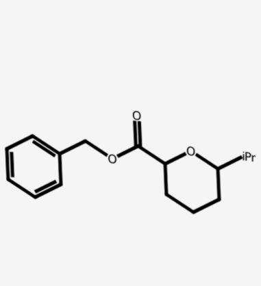 CC(C)C1CCCC(C(=O)OCc2ccccc2)O1